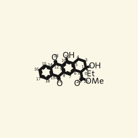 CC[C@]1(O)CCc2c(cc3c(c2O)C(=O)c2ccccc2C3=O)C1C(=O)OC